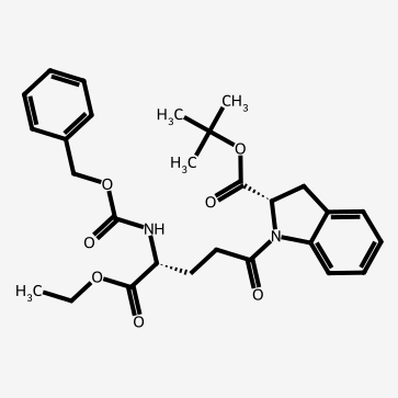 CCOC(=O)[C@@H](CCC(=O)N1c2ccccc2C[C@H]1C(=O)OC(C)(C)C)NC(=O)OCc1ccccc1